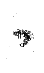 C[C@@H](C(=O)N1CCC[C@H](NC(=O)c2ccccn2)C1)N1CC[C@H](NS(=O)(=O)c2ccc3cc(Cl)ccc3c2)C1=O